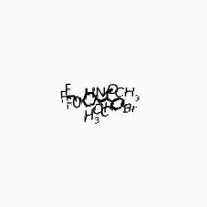 Cc1cc(Br)cc(C)c1C1=C(O)C2(CCC(OCC(F)(F)F)CC2)NC1=O